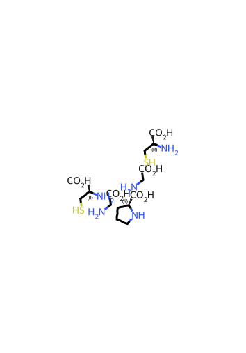 NCC(=O)O.NCC(=O)O.N[C@@H](CS)C(=O)O.N[C@@H](CS)C(=O)O.O=C(O)[C@@H]1CCCN1